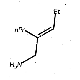 CC/C=C(/CN)CCC